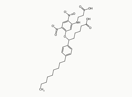 CCCCCCCCCc1ccc(C(CCCCC(=O)O)Oc2cc(NCCC(=O)O)c([N+](=O)[O-])cc2[N+](=O)[O-])cc1